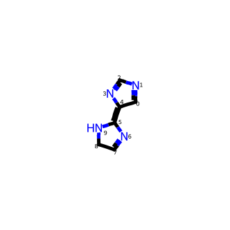 C1=NC=NC1=C1N=CCN1